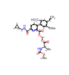 C=Cc1cc(C(=O)O)c(-c2ccc(C(=O)NCC3CC3)nc2C(=O)OCOC(=O)C(NC(=O)OC(C)(C)C)C(C)CC)cc1OC